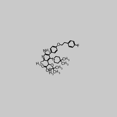 Cc1nc(N)c(-c2ccc(OCCc3ccc(F)cc3)cc2)c(N2CCC(C)(C)CC2)c1C(OC(C)(C)C)C(=O)O